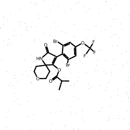 CC(C)C(=O)OC1=C(c2c(Br)cc(OC(F)(F)F)cc2Br)C(=O)NC12CCOCC2